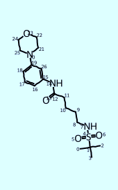 CC(C)(C)S(=O)(=O)NCCCCC(=O)Nc1cccc(N2CCOCC2)c1